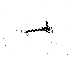 CCCCC(CC)(CC(C)(C)CCCCCCCCC(=O)O)C(=O)O